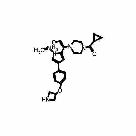 C=Nn1cc(-c2ccc(OC3CNC3)cc2)cc1/C(=C\C)N1CCN(C(=O)C2CC2)CC1